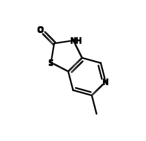 Cc1cc2sc(=O)[nH]c2cn1